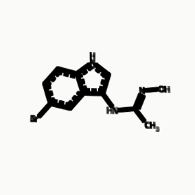 CC(=NO)Nc1c[nH]c2ccc(Br)cc12